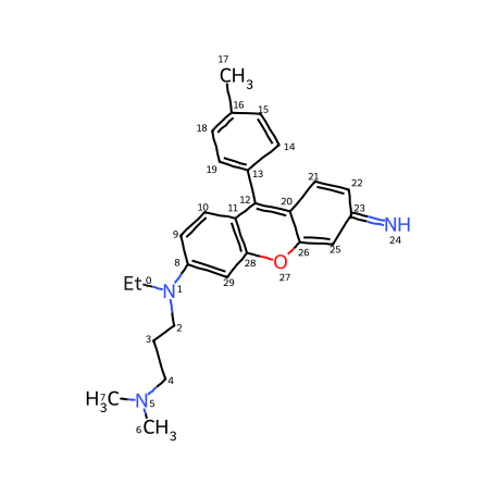 CCN(CCCN(C)C)c1ccc2c(-c3ccc(C)cc3)c3ccc(=N)cc-3oc2c1